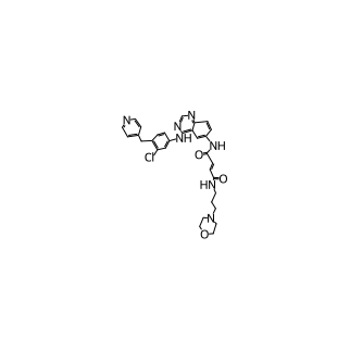 O=C(C=CC(=O)Nc1ccc2ncnc(Nc3ccc(Cc4ccncc4)c(Cl)c3)c2c1)NCCCN1CCOCC1